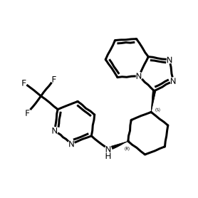 FC(F)(F)c1ccc(N[C@@H]2CCC[C@H](c3nnc4ccccn34)C2)nn1